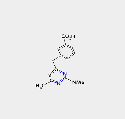 CNc1nc(C)cc(Cc2cccc(C(=O)O)c2)n1